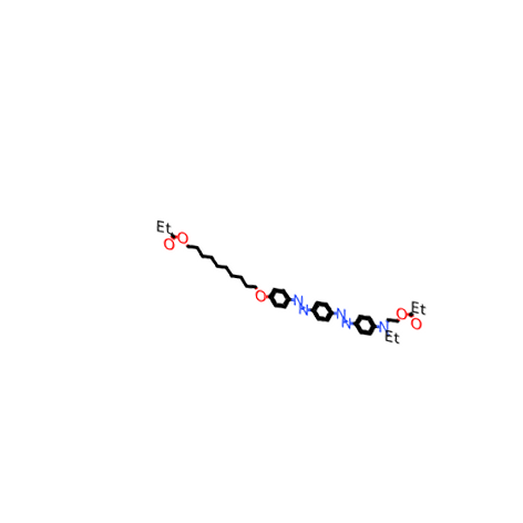 CCC(=O)OCCCCCCCCCCOc1ccc(N=Nc2ccc(N=Nc3ccc(N(CC)CCOC(=O)CC)cc3)cc2)cc1